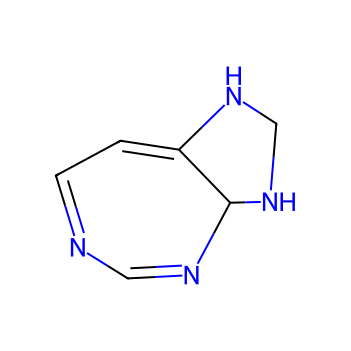 C1=NC=NC2NCNC2=C1